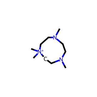 CN1CCN(C)CC[N+](C)(C)CC1